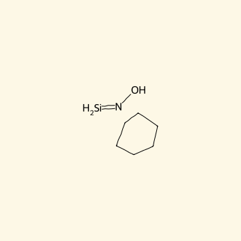 C1CCCCC1.ON=[SiH2]